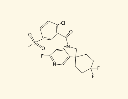 CS(=O)(=O)c1ccc(Cl)c(C(=O)NCC2(c3ccc(F)nc3)CCC(F)(F)CC2)c1